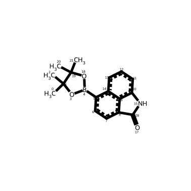 CC1(C)OB(c2ccc3c4c(cccc24)NC3=O)OC1(C)C